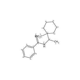 CCOC(=O)C1(C(C)NC(=O)c2ccccc2)CCCCC1